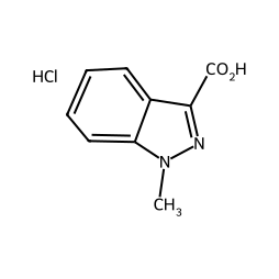 Cl.Cn1nc(C(=O)O)c2ccccc21